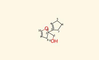 OCC1(C2=CCCC2)CC=CO1